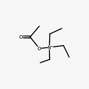 CC[N+](CC)(CC)OC(C)=O